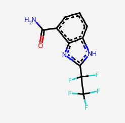 NC(=O)c1cccc2[nH]c(C(F)(F)C(F)(F)F)nc12